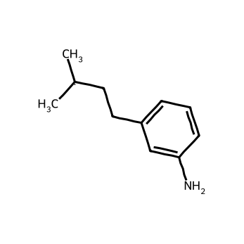 C[C](C)CCc1cccc(N)c1